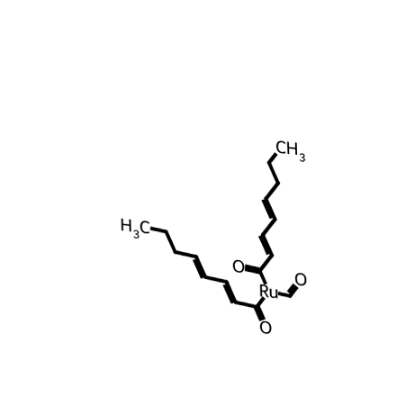 CCCC=CC=C[C](=O)[Ru]([CH]=O)[C](=O)C=CC=CCCC